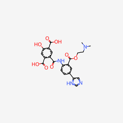 CN(C)CCOC(=O)c1cc(-c2cnc[nH]2)ccc1NC(=O)c1cc(C(=O)O)c(O)cc1C(=O)O